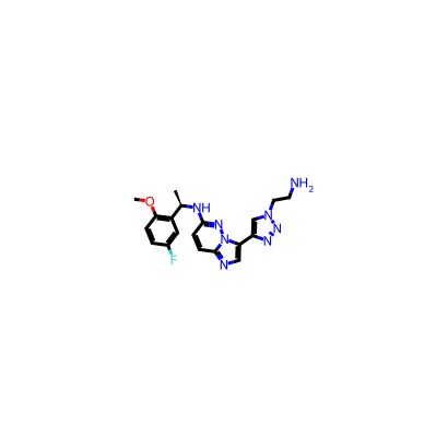 COc1ccc(F)cc1[C@@H](C)Nc1ccc2ncc(-c3cn(CCN)nn3)n2n1